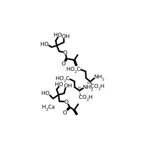 C=C(C)C(=O)OCC(CO)(CO)CO.C=C(C)C(=O)OCC(CO)(CO)CO.N[C@@H](CCC(=O)O)C(=O)O.N[C@@H](CCC(=O)O)C(=O)O.[CaH2]